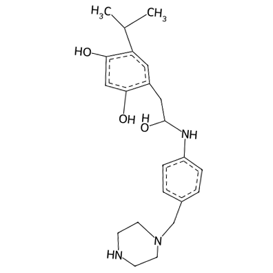 CC(C)c1cc(CC(O)Nc2ccc(CN3CCNCC3)cc2)c(O)cc1O